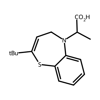 CC(C(=O)O)N1CC=C(C(C)(C)C)Sc2ccccc21